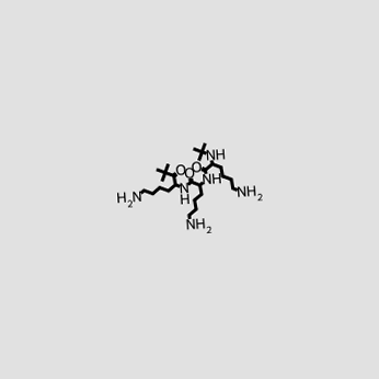 CC(C)(C)NC(CCCCN)C(=O)NC(CCCCN)C(=O)NC(CCCCN)C(=O)C(C)(C)C